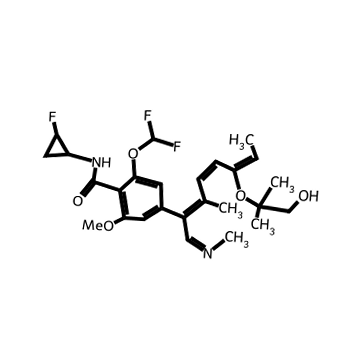 C\C=C(/C=C\C(C)=C(\C=N/C)c1cc(OC)c(C(=O)NC2CC2F)c(OC(F)F)c1)OC(C)(C)CO